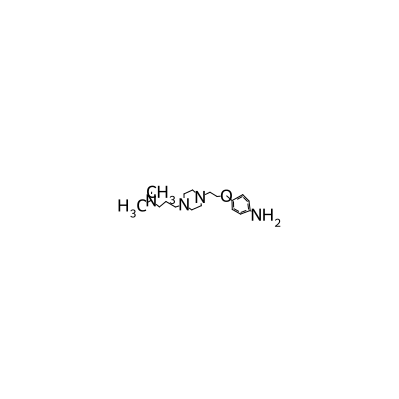 CN(C)CCCN1CCN(CCOc2ccc(N)cc2)CC1